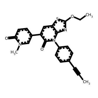 CC#Cc1ccc(-n2c(=O)c(-c3ccc(=O)n(C)c3)cc3sc(OCC)nc32)cc1